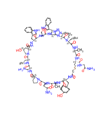 CCCC[C@H]1C(=O)N[C@@H](C)C(=O)N[C@H](C(=O)NCC(N)=O)CSCC(=O)N[C@@H](Cc2ccc(O)cc2)C(=O)N[C@@H](C)C(=O)N[C@@H](CC(N)=O)C(=O)N2CCC[C@H]2C(=O)N[C@@H](CN)C(=O)N[C@@H](CC(C)C)C(=O)N2C[C@H](O)C[C@H]2C(=O)N[C@@H](Cc2c[nH]c3ccccc23)C(=O)N[C@@H](CO)C(=O)N[C@@H](Cc2c[nH]c3ccccc23)c2nnnn2[C@@H](CCCC)C(=O)N1C